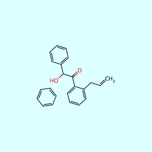 C=CCc1ccccc1C(=O)C(O)c1ccccc1.c1ccccc1